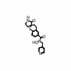 O=C(c1ccc2c(c1)CCC1(CCNC1=O)S2)N(O)Cc1ccncc1